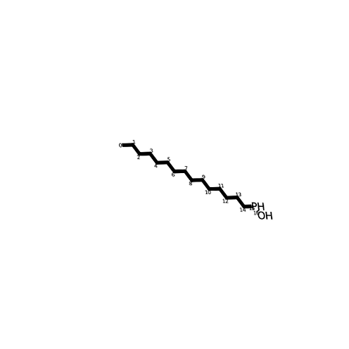 CCCCCCCCCCCCCCCPO